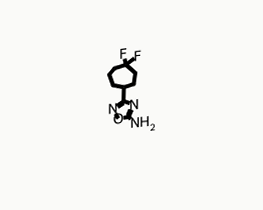 Nc1nc(C2CCCC(F)(F)CC2)no1